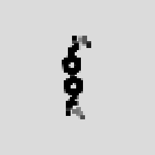 CCCC1CCC([C@H]2CC[C@H](OCC)CC2)CC1